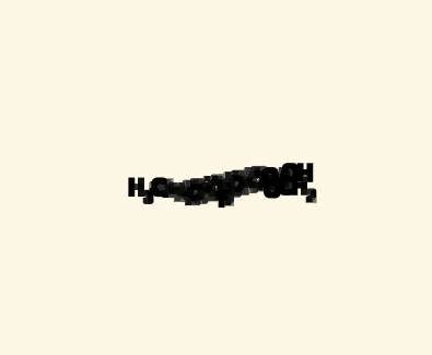 C=C(CO)C(=O)OC1CCC(c2ccc(-c3ccc(-c4ccc(CCCCC)cc4)cc3F)cc2)CC1